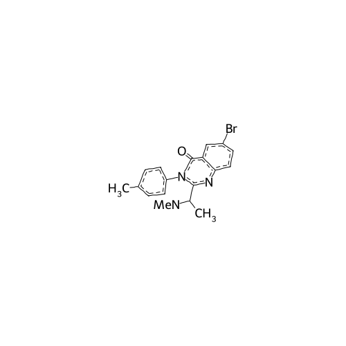 CNC(C)c1nc2ccc(Br)cc2c(=O)n1-c1ccc(C)cc1